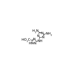 Nc1nc(N)nc(Nc2n[nH]c(C(=O)O)n2)n1